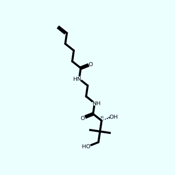 C=CCCCC(=O)NCCNC(=O)[C@H](O)C(C)(C)CO